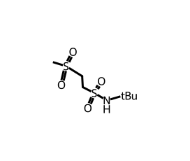 CC(C)(C)NS(=O)(=O)CCS(C)(=O)=O